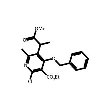 CCOC(=O)c1c(Cl)nc(C)c(C(C)C(=O)OC)c1OCc1ccccc1